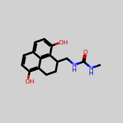 CNC(=O)NCC1CCc2c(O)ccc3ccc(O)c1c23